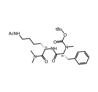 CC(=O)NCCCC[C@H](NC(=O)[C@@H](Cc1ccccc1)N(C)C(=O)OC(C)(C)C)C(=O)N(C)C